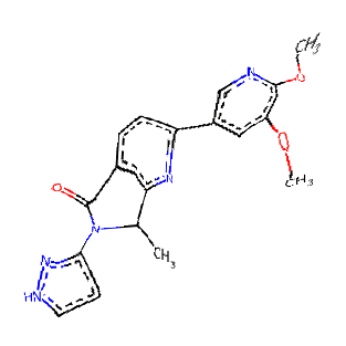 COc1cc(-c2ccc3c(n2)C(C)N(c2cc[nH]n2)C3=O)cnc1OC